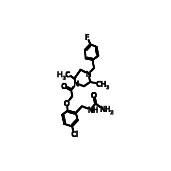 CC1CN(C(=O)COc2ccc(Cl)cc2CNC(N)=O)C(C)CN1Cc1ccc(F)cc1